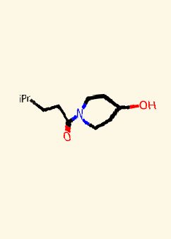 CC(C)CCC(=O)N1CCC(O)CC1